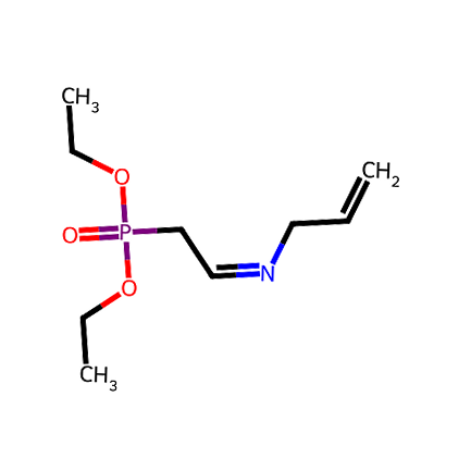 C=CC/N=C\CP(=O)(OCC)OCC